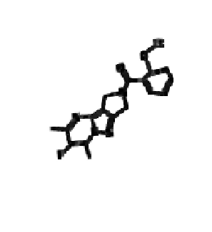 CCOc1ccccc1C(=O)N1Cc2nn3c(C)c(F)c(C)nc3c2C1